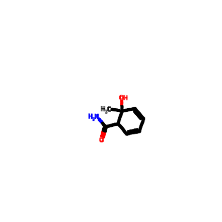 CC1(O)C=CC=CC1C(N)=O